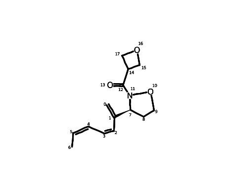 C=C(/C=C\C=C/C)[C@@H]1CCON1C(=O)C1COC1